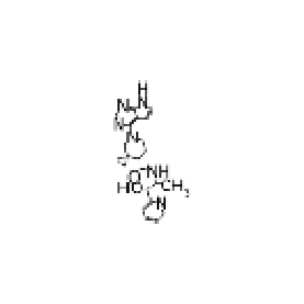 C[C@H](NC(=O)[C@H]1CCN(c2ncnc3[nH]ccc23)CC12CC2)[C@@H](O)c1ccccn1